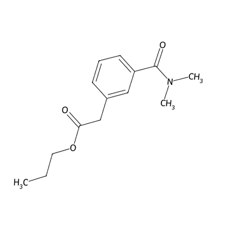 CCCOC(=O)Cc1cccc(C(=O)N(C)C)c1